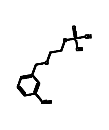 CCCCCCCCCc1cccc(COCCOP(=O)(O)O)c1